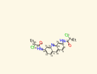 CCC(Cl)C(=O)Nc1ccc2cc3ccc(NC(=O)C(Cl)CC)cc3nc2c1